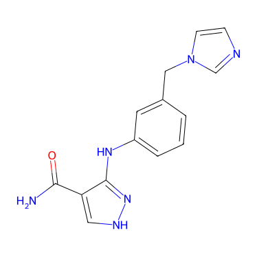 NC(=O)c1c[nH]nc1Nc1cccc(Cn2ccnc2)c1